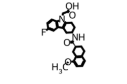 COc1cccc2c1C[C@@H](C(=O)N[C@H]1CCc3c(c4cc(F)ccc4n3CC(=O)O)C1)CC2